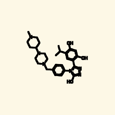 CC(C)c1cc(-c2nnc(O)n2-c2ccc(CN3CCN(C4CCN(C)CC4)CC3)cc2)c(O)cc1O